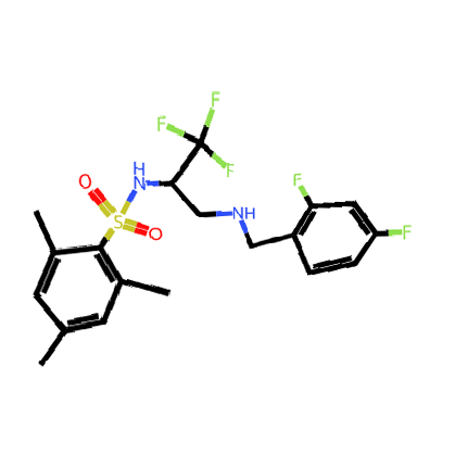 Cc1cc(C)c(S(=O)(=O)NC(CNCc2ccc(F)cc2F)C(F)(F)F)c(C)c1